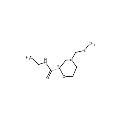 CCNC(=O)[C@@H]1CN(CSC)CCO1